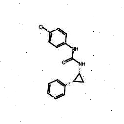 O=C(Nc1ccc(Cl)cc1)N[C@@H]1C[C@@H]1c1ccccc1